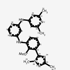 COc1c(Nc2cc(Nc3cc(C)nc(C)n3)ncn2)cccc1-c1nc(C)nn1C